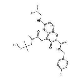 CN(CC(C)(C)CO)C(=O)Cn1c(=O)c(C(=O)NCc2ccc(Cl)cc2)cc2ccc(NCC(F)F)nc21